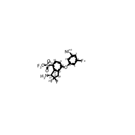 N#Cc1cc(F)cc(Oc2ccc(S(=O)(=O)C(F)(F)F)c3c2CC(F)(F)[C@H]3N)c1